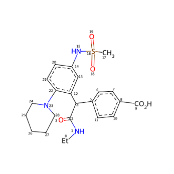 CCNC(=O)C(c1ccc(C(=O)O)cc1)c1cc(NS(C)(=O)=O)ccc1N1CCCCC1